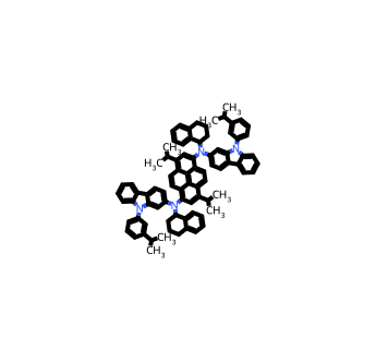 CC(C)c1cccc(-n2c3ccccc3c3ccc(N(c4cc(C(C)C)c5ccc6c(N(c7ccc8c9ccccc9n(-c9cccc(C(C)C)c9)c8c7)C7CCCc8ccccc87)cc(C(C)C)c7ccc4c5c76)C4CCCc5ccccc54)cc32)c1